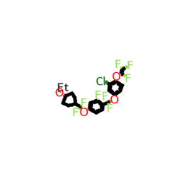 CCOC1CCC(C(F)(F)Oc2ccc(C(F)(F)Oc3ccc(OC(F)=C(F)F)c(Cl)c3)c(F)c2)CC1